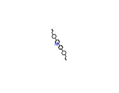 C=CCC1CCC(c2ccc(-c3ccc(C4CCC(CC=C)CC4)cn3)cc2)CC1